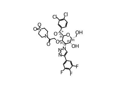 O=C(CO[C@@H]1[C@@H](n2cc(-c3cc(F)c(F)c(F)c3)nn2)[C@@H](O)[C@@H](CO)O[C@@H]1[S+]([O-])c1ccc(Cl)c(Cl)c1)N1CCS(=O)(=O)CC1